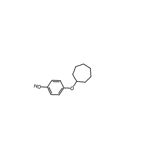 Oc1ccc(OC2CCCCCC2)cc1